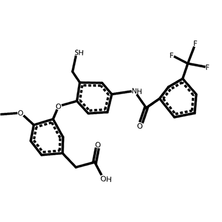 COc1ccc(CC(=O)O)cc1Oc1ccc(NC(=O)c2cccc(C(F)(F)F)c2)cc1CS